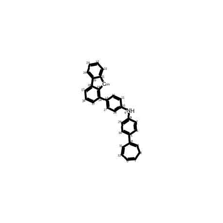 C1=CCC=C(c2ccc(Nc3ccc(-c4cccc5c4oc4ccccc45)cc3)cc2)C=C1